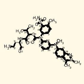 Cc1ccc(N(C(=O)OC(C(=O)N[C@H](C=O)CCN)C(C)C)c2nccc(N(C)c3ccc4c(C)n(C)nc4c3)n2)cc1S(N)(=O)=O